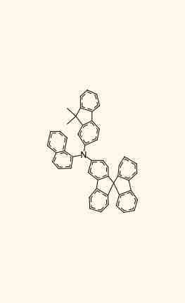 CC1(C)c2ccccc2-c2ccc(N(c3ccc4c(c3)-c3ccccc3C43c4ccccc4-c4ccccc43)c3cccc4ccccc34)cc21